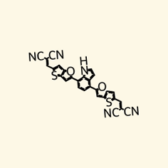 N#CC(C#N)=Cc1cc2oc(-c3ccc(-c4cc5sc(C=C(C#N)C#N)cc5o4)c4[nH]ccc34)cc2s1